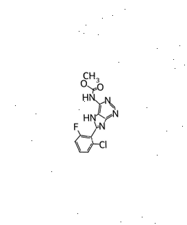 COC(=O)Nc1ncnc2nc(-c3c(F)cccc3Cl)[nH]c12